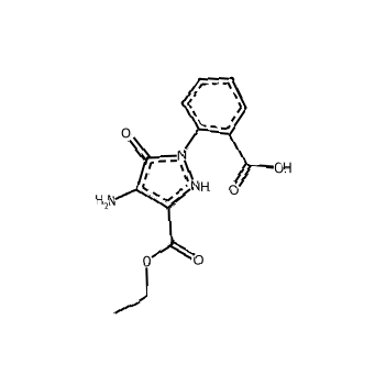 CCOC(=O)c1[nH]n(-c2ccccc2C(=O)O)c(=O)c1N